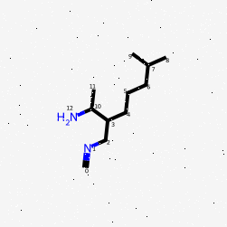 C=NCC(CCCC(C)C)C(C)N